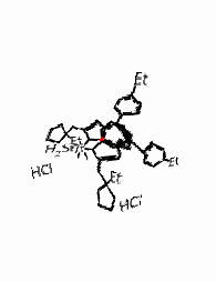 CCc1ccc(-c2cccc3c2C=C(CC2(CC)CCCC2)[CH]3[Zr]([CH3])([CH3])(=[SiH2])[CH]2C(CC3(CC)CCCC3)=Cc3c(-c4ccc(CC)cc4)cccc32)cc1.Cl.Cl